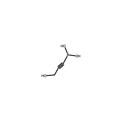 OCC#CB(O)O